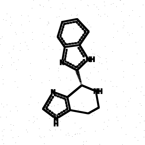 c1ccc2[nH]c([C@@H]3NCCc4[nH]cnc43)nc2c1